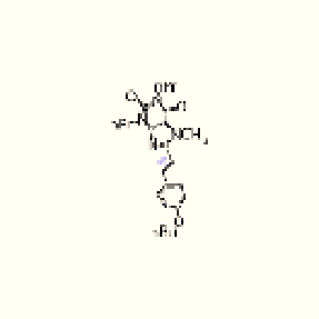 CCCCOc1ccc(/C=C/c2nc3c(c(=O)n(CCC)c(=O)n3CCC)n2C)cc1